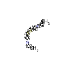 Cc1cccc(/C=C/c2ccc(-c3ccc(-c4ccc(-c5ccc(/C=C/c6cccc(C)c6)cc5)s4)s3)cc2)c1